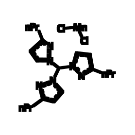 CCCc1ccn(C(n2ccc(CCC)n2)n2ccc(CCC)n2)n1.[Cl][Mn][Cl]